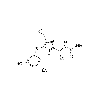 CCC(NC(N)=O)c1nc(C2CC2)c(Sc2cc(C#N)cc(C#N)c2)[nH]1